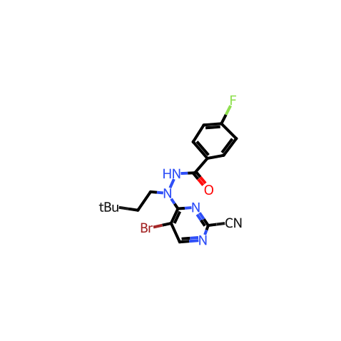 CC(C)(C)CCN(NC(=O)c1ccc(F)cc1)c1nc(C#N)ncc1Br